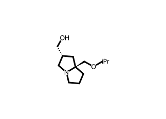 CC(C)OC[C@@]12CCCN1C[C@H](CO)C2